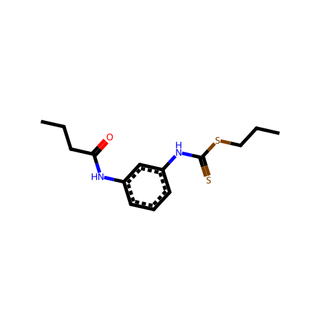 CCCSC(=S)Nc1cccc(NC(=O)CCC)c1